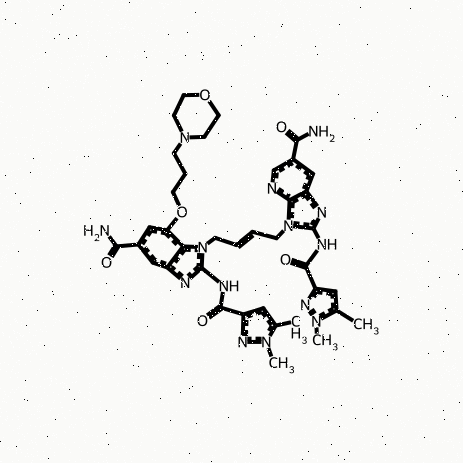 Cc1cc(C(=O)Nc2nc3cc(C(N)=O)cnc3n2CC=CCn2c(NC(=O)c3cc(C)n(C)n3)nc3cc(C(N)=O)cc(OCCCN4CCOCC4)c32)nn1C